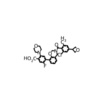 Cc1cc(C2COC2)cc(Cl)c1C(=O)N1COc2c(cccc2-c2cc(N3CCOCC3)c(C(=O)O)cc2F)C1